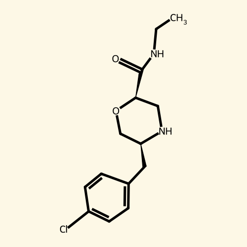 CCNC(=O)[C@H]1CN[C@@H](Cc2ccc(Cl)cc2)CO1